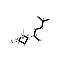 CC(C)CCC(C)[C@@H]1C[C@H](C)N1